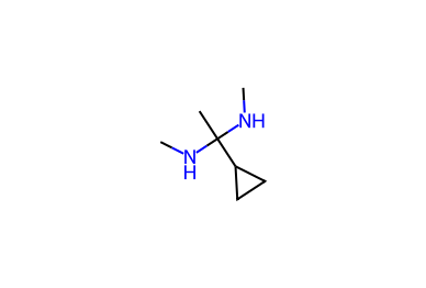 CNC(C)(NC)C1CC1